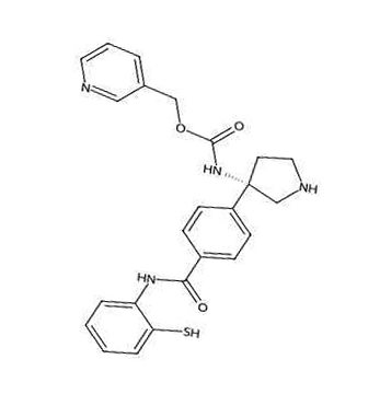 O=C(N[C@]1(c2ccc(C(=O)Nc3ccccc3S)cc2)CCNC1)OCc1cccnc1